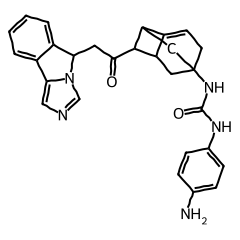 Nc1ccc(NC(=O)NC23CC=C4C(C2)C(C(=O)CC2c5ccccc5-c5cncn52)C4C3)cc1